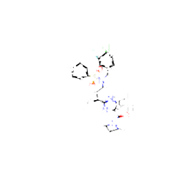 C=C(CCN(Cc1ccc(Cl)c(F)c1)S(=O)(=O)c1ccccc1)C1=NC(C)(C)[C@H](C(=O)N2CCC2)N1